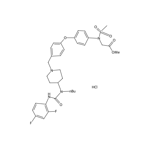 CCCCN(C(=O)Nc1ccc(F)cc1F)C1CCN(Cc2ccc(Oc3ccc(N(CC(=O)OC)S(C)(=O)=O)cc3)cc2)CC1.Cl